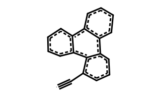 [C]#Cc1cccc2c3ccccc3c3ccccc3c12